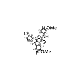 COc1cc(NC(=O)C(=O)c2c(C)n(Cc3ccc(Cl)cn3)c3cc(F)c(OC)cc23)ccn1